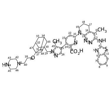 Cc1c(Nc2nc3ccccc3s2)nnc2c1CCCN2c1ccc(-c2cnn(CC34CC5CC(C3)CC(OCCN3CCNCC3)(C5)C4)c2C)c(C(=O)O)n1